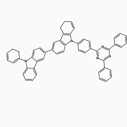 C1=CCCC(n2c3ccccc3c3cc(-c4ccc5c(c4)c4c(n5-c5ccc(-c6nc(-c7ccccc7)nc(-c7ccccc7)n6)cc5)C=CCC4)ccc32)=C1